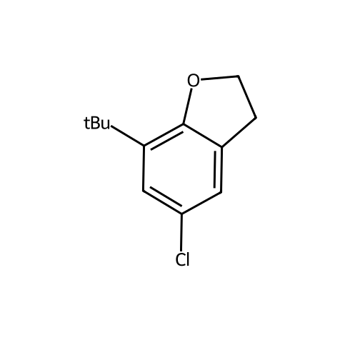 CC(C)(C)c1cc(Cl)cc2c1OCC2